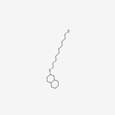 [S]CCCCCCCCCCSC1CCC2CCCCC2C1